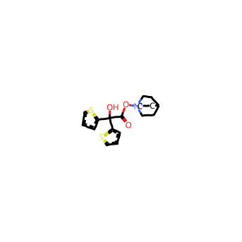 O=C(O[N+]12CCC(CC1)CC2)C(O)(c1cccs1)c1cccs1